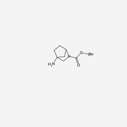 CC(C)(C)OC(=O)N1CC2(N)CCC1C2